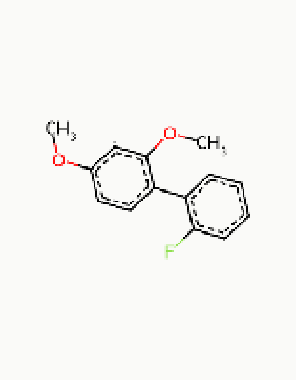 COc1[c]c(OC)c(-c2ccccc2F)cc1